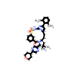 Cc1cccc(C)c1-c1cc2nc(n1)NS(=O)(=O)c1cccc(c1)C(=O)N(Cc1cnc(C3CCOCC3)cn1)[C@H](CC(C)(C)C)CC2